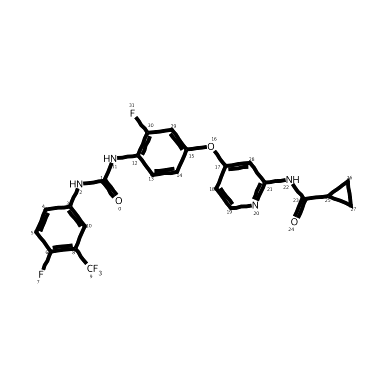 O=C(Nc1ccc(F)c(C(F)(F)F)c1)Nc1ccc(Oc2ccnc(NC(=O)C3CC3)c2)cc1F